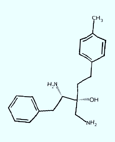 Cc1ccc(CC[C@@](O)(CN)[C@@H](N)Cc2ccccc2)cc1